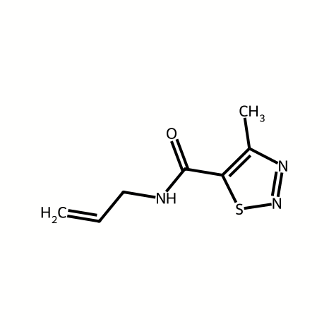 C=CCNC(=O)c1snnc1C